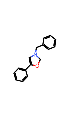 C1=C(c2ccccc2)OCN1Cc1ccccc1